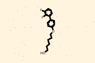 OCCCCCCOc1ccc(-c2cccc(F)c2F)cc1